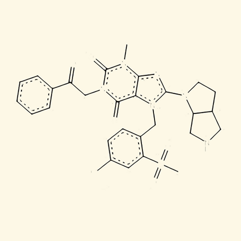 Cl.Cn1c(=O)n(CC(=O)c2ccccc2)c(=O)c2c1nc(N1CCC3CNCC31)n2Cc1ccc(Cl)cc1S(C)(=O)=O